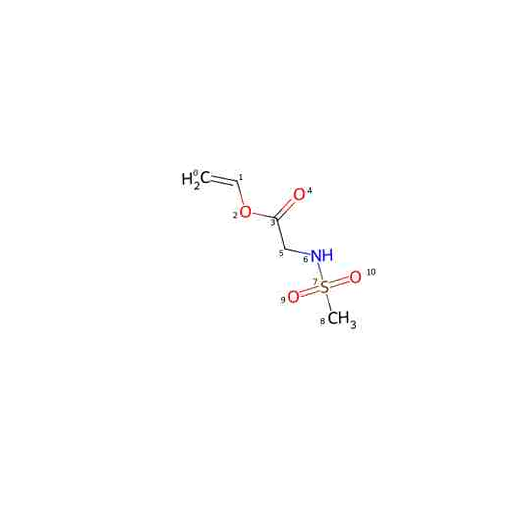 C=COC(=O)CNS(C)(=O)=O